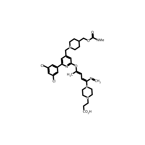 C=N/C(=C\C=C(/C)Oc1cc(CN2CCC(COC(=O)NC)CC2)cc(-c2cc(Cl)cc(Cl)c2)n1)N1CCN(CCC(=O)O)CC1